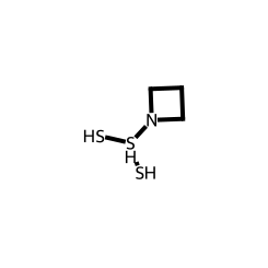 S[SH](S)N1CCC1